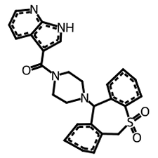 O=C(c1c[nH]c2ncccc12)N1CCN(C2c3ccccc3CS(=O)(=O)c3ccccc32)CC1